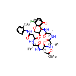 COC(=O)CC(NC(=O)[C@H](C)NC(=O)[C@@H](NC(=O)[C@H](CC(=O)OC)NC(=O)[C@@H](NC(=O)CC(=O)Nc1ccccc1C(C)(C)C)C(C)C)C(C)C)C(=O)COc1c(F)cccc1F